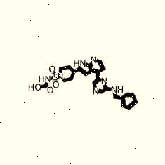 O=C(O)NS(=O)(=O)N1CCC(c2cc3c(-c4cncc(NCc5ccccc5)n4)ccnc3[nH]2)CC1